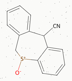 N#CC1c2ccccc2C[S+]([O-])c2ccccc21